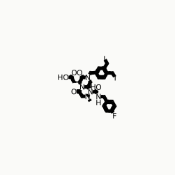 CN1CC(=O)N2[C@@H](CC(=O)O)C(=O)N(Cc3ccc(CI)c(CI)c3)C[C@@H]2N1C(=O)NCc1ccc(F)cc1